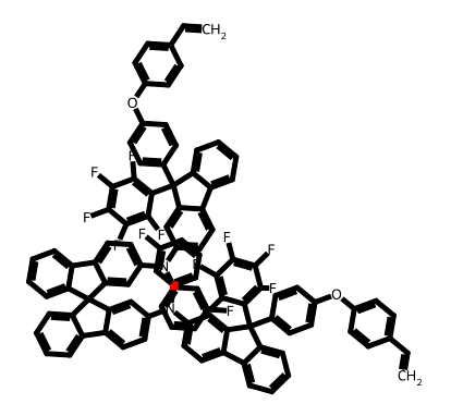 C=Cc1ccc(Oc2ccc(C3(c4c(F)c(F)c(F)c(F)c4F)c4ccccc4-c4ccc(N(c5cccc(F)c5)c5ccc6c(c5)C5(c7ccccc7-6)c6ccccc6-c6ccc(N(c7cccc(F)c7)c7ccc8c(c7)C(c7ccc(Oc9ccc(C=C)cc9)cc7)(c7c(F)c(F)c(F)c(F)c7F)c7ccccc7-8)cc65)cc43)cc2)cc1